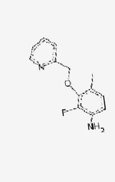 Cc1ccc(N)c(F)c1OCc1ccccn1